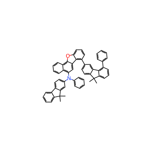 CC1(C)c2ccccc2-c2ccc(N(c3ccccc3)c3cc4c(oc5cccc(-c6ccc7c(c6)-c6c(-c8ccccc8)cccc6C7(C)C)c54)c4ccccc34)cc21